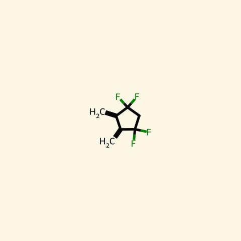 C=C1C(=C)C(F)(F)CC1(F)F